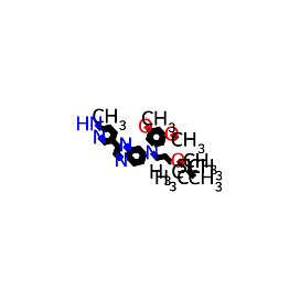 CNc1ccc(-c2cnc3ccc(N(CCCO[Si](C)(C)C(C)(C)C)c4cc(OC)cc(OC)c4)cc3n2)cn1